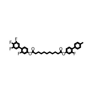 Cc1ccc(-c2ccc(OC(=O)CCCCCCCCCC(=O)Oc3ccc(-c4cc(F)c(F)c(F)c4)c(F)c3)cc2F)cc1